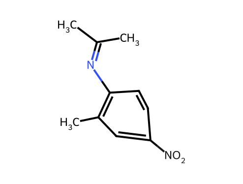 CC(C)=Nc1ccc([N+](=O)[O-])cc1C